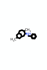 CC1CC2CCC(C)C(NCc3ccccc3)CC(C1)C2